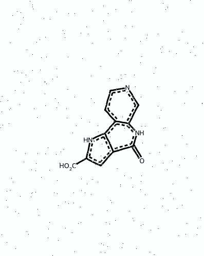 O=C(O)c1cc2c(=O)[nH]c3cnccc3c2[nH]1